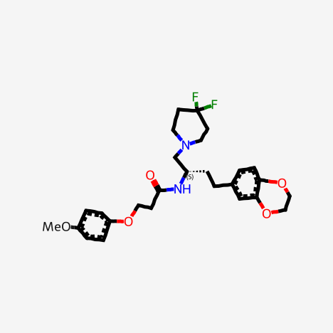 COc1ccc(OCCC(=O)N[C@@H](CCc2ccc3c(c2)OCCO3)CN2CCC(F)(F)CC2)cc1